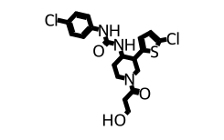 O=C(Nc1ccc(Cl)cc1)NC1CCN(C(=O)CCO)CC1c1ccc(Cl)s1